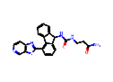 NC(=O)CCNC(=O)NC1c2ccccc2-c2c(-c3nc4ccncc4[nH]3)cccc21